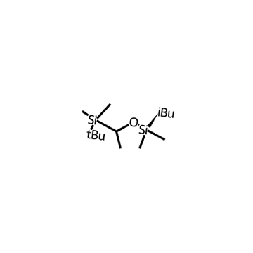 CC[C@H](C)[Si](C)(C)OC(C)[Si](C)(C)C(C)(C)C